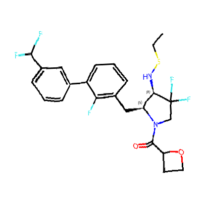 CCSN[C@@H]1[C@H](Cc2cccc(-c3cccc(C(F)F)c3)c2F)N(C(=O)C2CCO2)CC1(F)F